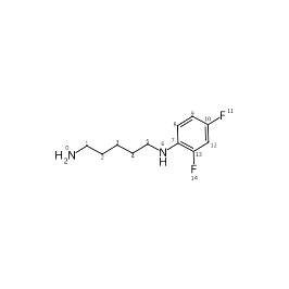 NCCCCCNc1ccc(F)cc1F